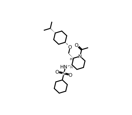 CC(=O)N1CCC[C@H](NS(=O)(=O)C2CCCCC2)[C@@H]1CO[C@H]1CC[C@@H](C(C)C)CC1